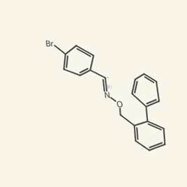 Brc1ccc(/[C]=N/OCc2ccccc2-c2ccccc2)cc1